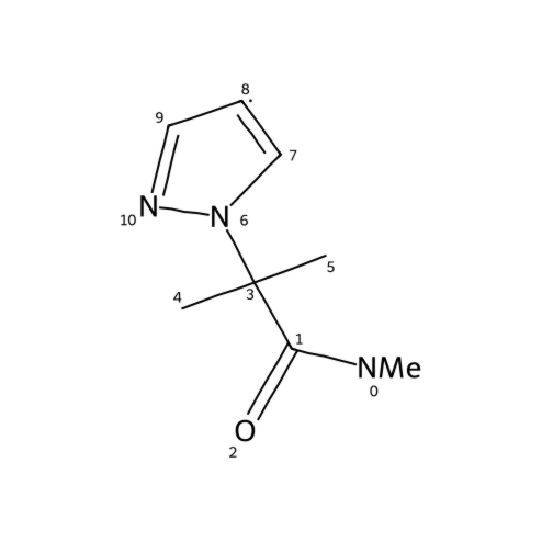 CNC(=O)C(C)(C)n1c[c]cn1